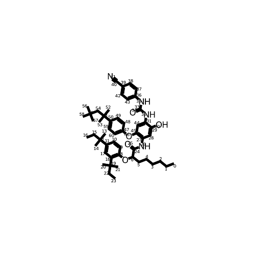 CCCCCCC(Oc1ccc(C(C)(C)CC)cc1C(C)(C)CC)C(=O)Nc1cc(O)c(NC(=O)Nc2ccc(C#N)cc2)cc1Oc1ccc(C(C)(C)CC(C)(C)C)cc1